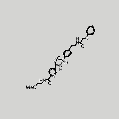 COCCNC(=O)c1ccc(C(=O)NS(=O)(=O)c2ccc(CCNC(=O)COc3ccccc3)cc2)cn1